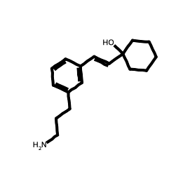 NCCCc1cccc(C=CC2(O)CCCCC2)c1